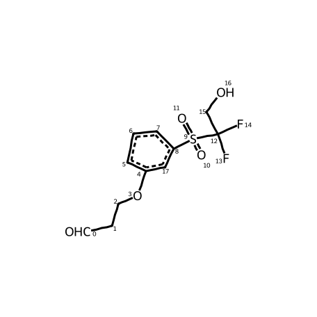 O=CCCOc1cccc(S(=O)(=O)C(F)(F)CO)c1